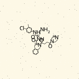 Cc1cc(NC(=O)[C@H](CCN)NC(=O)[C@@H]2Cc3ccccc3CN2C(=O)CCC(=O)N2CCN(C)[C@@H](C)C2)ccc1Cl